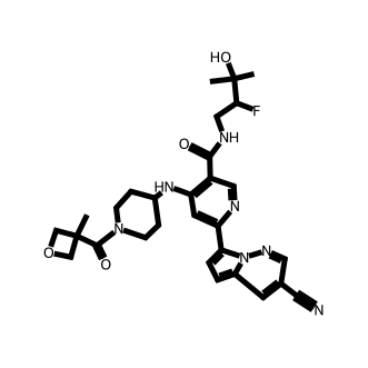 CC1(C(=O)N2CCC(Nc3cc(-c4ccc5cc(C#N)cnn45)ncc3C(=O)NCC(F)C(C)(C)O)CC2)COC1